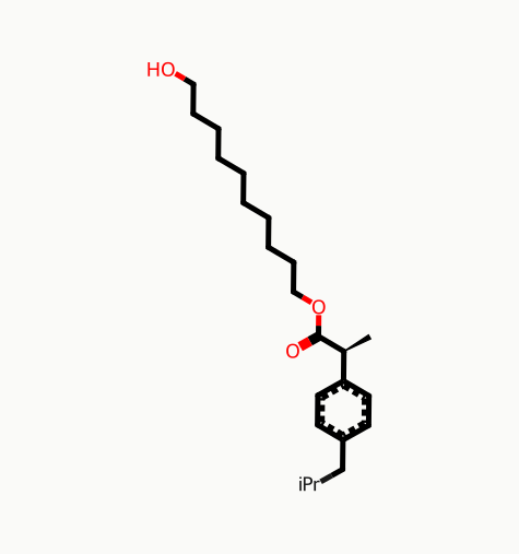 CC(C)Cc1ccc([C@H](C)C(=O)OCCCCCCCCCCO)cc1